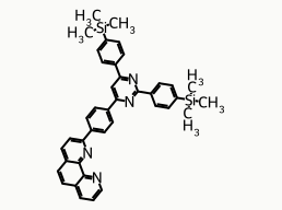 C[Si](C)(C)c1ccc(-c2cc(-c3ccc(-c4ccc5ccc6cccnc6c5n4)cc3)nc(-c3ccc([Si](C)(C)C)cc3)n2)cc1